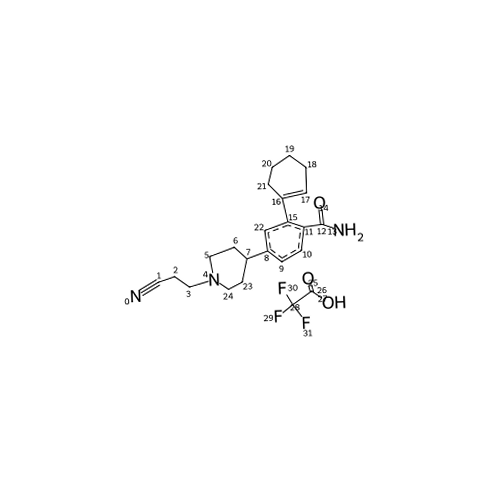 N#CCCN1CCC(c2ccc(C(N)=O)c(C3=CCCCC3)c2)CC1.O=C(O)C(F)(F)F